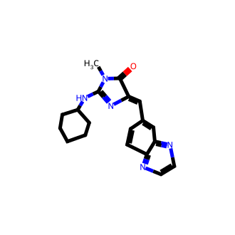 CN1C(=O)/C(=C/c2ccc3nccnc3c2)N=C1NC1CCCCC1